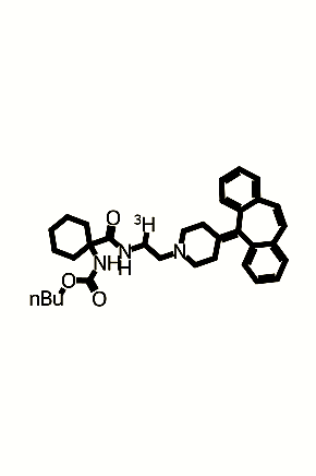 [3H]C(CN1CCC(=C2c3ccccc3C=Cc3ccccc32)CC1)NC(=O)C1(NC(=O)OCCCC)CCCCC1